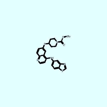 CC(C)(C)OC(=O)N1CCC(Sc2ccc3nccc(Nc4ccc5scnc5c4)c3c2)CC1